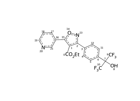 CCOC(=O)c1c(-c2ccc(C(O)(C(F)(F)F)C(F)(F)F)cc2)noc1-c1cccnc1